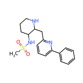 CS(=O)(=O)NC1CCCNC1Cc1cccc(-c2ccccc2)n1